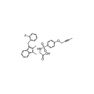 CC#CCOc1ccc(S(=O)(=O)N[C@@H](Cc2c(C)n(Cc3ccccc3F)c3ccccc23)C(=O)O)cc1